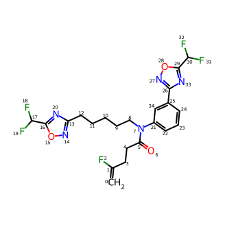 C=C(F)CCC(=O)N(CCCCCc1noc(C(F)F)n1)c1cccc(-c2noc(C(F)F)n2)c1